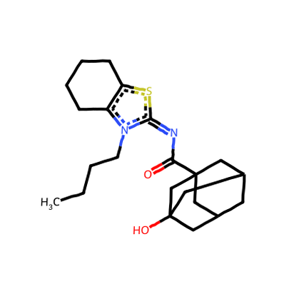 CCCCn1c2c(sc1=NC(=O)C13CC4CC(CC(O)(C4)C1)C3)CCCC2